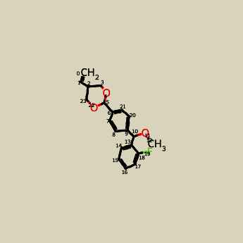 C=CC1COC(c2ccc(C(OC)c3ccccc3F)cc2)OC1